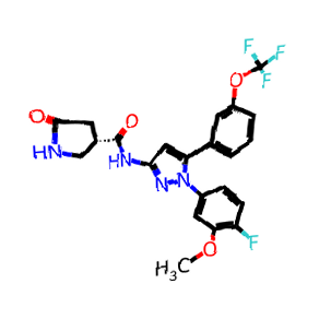 COc1cc(-n2nc(NC(=O)[C@@H]3CNC(=O)C3)cc2-c2cccc(OC(F)(F)F)c2)ccc1F